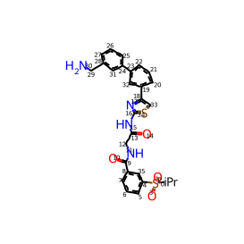 CC(C)S(=O)(=O)c1cccc(C(=O)NCC(=O)Nc2nc(-c3cccc(-c4cccc(CN)c4)c3)cs2)c1